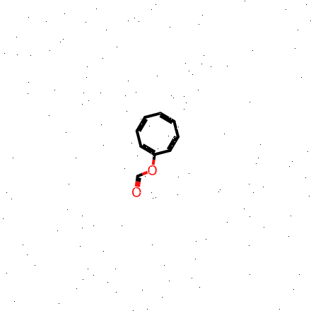 O=COC1=CC=CC=CC=C1